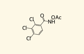 CC(=O)ONC(=O)c1ccc(Cl)c(Cl)c1Cl